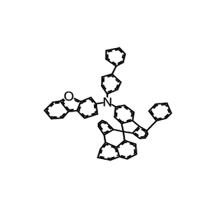 c1ccc(-c2ccc(N(c3ccc4c(c3)C3(c5ccccc5-c5cccc6cccc3c56)c3cccc(-c5ccccc5)c3-4)c3ccc4c(c3)oc3ccccc34)cc2)cc1